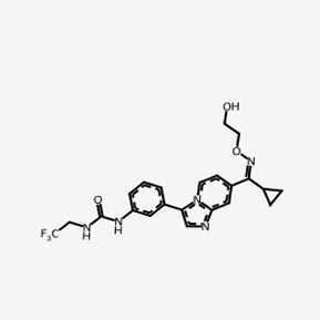 O=C(NCC(F)(F)F)Nc1cccc(-c2cnc3cc(/C(=N\OCCO)C4CC4)ccn23)c1